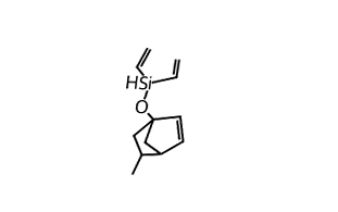 C=C[SiH](C=C)OC12C=CC(C1)C(C)C2